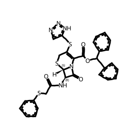 O=C(CSc1ccccc1)N[C@@H]1C(=O)N2C(C(=O)OC(c3ccccc3)c3ccccc3)=C(Sc3cnn[nH]3)CS[C@@H]12